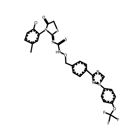 Cc1ccc(Cl)c(N2C(=O)CS/C2=N\C(=S)NOCc2ccc(-c3ncn(-c4ccc(OC(F)(F)F)cc4)n3)cc2)c1